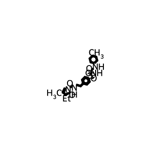 CCC1C(=O)N(C(=O)NCCc2ccc(S(=O)(=O)NC(=O)NC3CCC(C)CC3)cc2)C=C1C